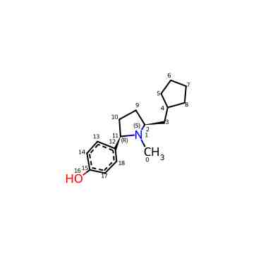 CN1[C@H](CC2CCCC2)CC[C@@H]1c1ccc(O)cc1